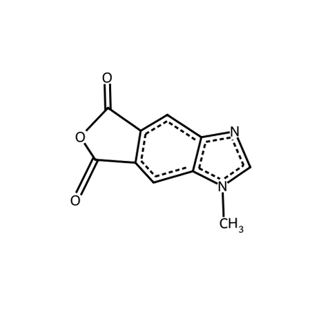 Cn1cnc2cc3c(cc21)C(=O)OC3=O